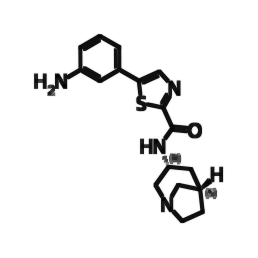 Nc1cccc(-c2cnc(C(=O)N[C@@H]3C[C@@H]4CCN(C4)C3)s2)c1